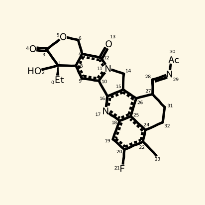 CC[C@@]1(O)C(=O)OCc2c1cc1n(c2=O)Cc2c-1nc1cc(F)c(C)c3c1c2C(/C=N/C(C)=O)CC3